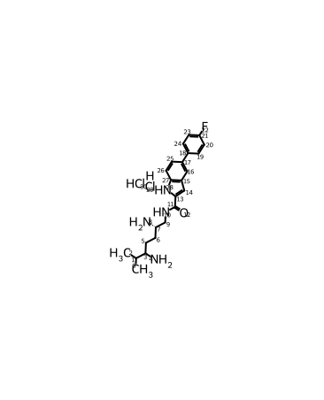 CC(C)C(N)CC[C@H](N)CNC(=O)c1cc2cc(-c3ccc(F)cc3)ccc2[nH]1.Cl.Cl